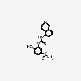 NS(=O)(=O)c1ccc(O)c(NC(=S)Nc2cccc3cnccc23)c1